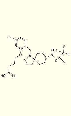 CC(OC(=O)N1CCC2(CCCN2Cc2ccc(Cl)cc2OCCCC(=O)O)CC1)C(F)(F)F